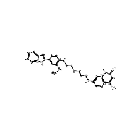 COc1cc(-c2nc3ccccc3s2)ccc1OCCCCCCOc1ccc2c(C)cc(=O)oc2c1